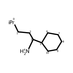 CC(C)CCC(N)C1CCCCC1